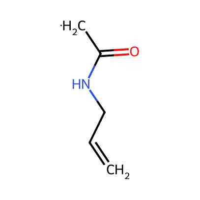 [CH2]C(=O)NCC=C